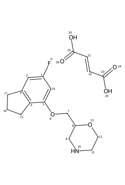 Fc1cc2c(c(OCC3CNCCO3)c1)CCC2.O=C(O)/C=C/C(=O)O